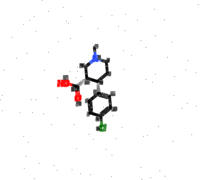 CN1CC[C@H](c2ccc(Cl)cc2)[C@H](C(=O)O)C1